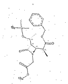 C[C@H](C(=O)OCc1ccccc1)[C@@H]1[C@@H]([C@@H](C)O[Si](C)(C)C(C)(C)C)C(=O)N1CC(=O)OC(C)(C)C